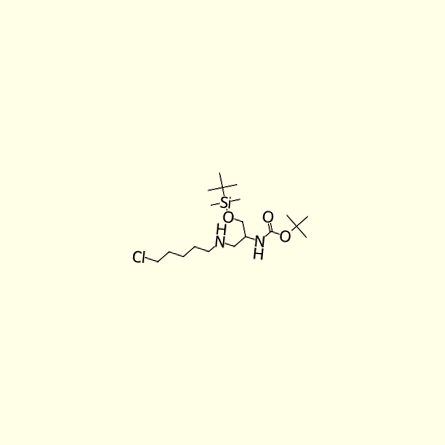 CC(C)(C)OC(=O)NC(CNCCCCCCl)CO[Si](C)(C)C(C)(C)C